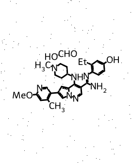 CCc1cc(O)ccc1N=C(N)c1cnn2cc(-c3cnc(OC)cc3C)cc2c1NC1CCN(C)CC1.O=CO